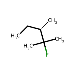 CC[C@H](C)C(C)(C)F